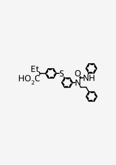 CCC(C(=O)O)c1ccc(Sc2cccc(N(CCc3ccccc3)C(=O)Nc3ccccc3)c2)cc1